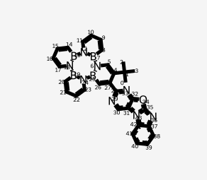 CC(C)(C)C1=CN2B3C=CC=CN3B3C=CC=CN3B3C=CC=CN3B2C=C1c1ncc2c(n1)oc1nc3ccccc3n12